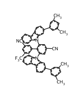 Cc1cc(C)cc(-c2ccc3c4ccccc4n(-c4cc(C#N)cc(-n5c6ccccc6c6ccc(-c7cc(C)cc(C)c7)cc65)c4-c4cc(C#N)cc(C(F)(F)F)c4)c3c2)c1